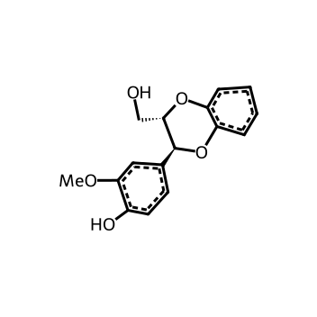 COc1cc([C@@H]2Oc3ccccc3O[C@H]2CO)ccc1O